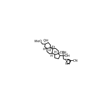 CC[C@]12CC[C@](O)(COC)C[C@H]1CC[C@@H]1[C@@H]2CC[C@]2(C)C([C@](C)(O)Cn3cc(C#N)cn3)CC[C@@H]12